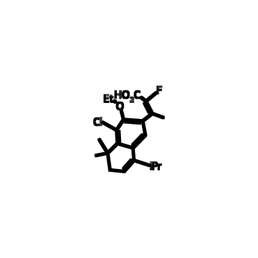 CCOc1c(/C(C)=C(/F)C(=O)O)cc2c(c1Cl)C(C)(C)CC=C2C(C)C